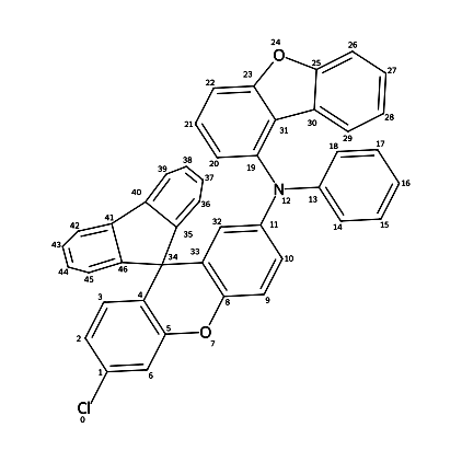 Clc1ccc2c(c1)Oc1ccc(N(c3ccccc3)c3cccc4oc5ccccc5c34)cc1C21c2ccccc2-c2ccccc21